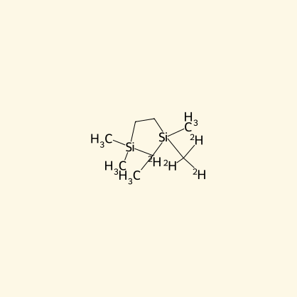 [2H]C([2H])([2H])[Si]1(C)CC[Si](C)(C)[C@@]1([2H])C